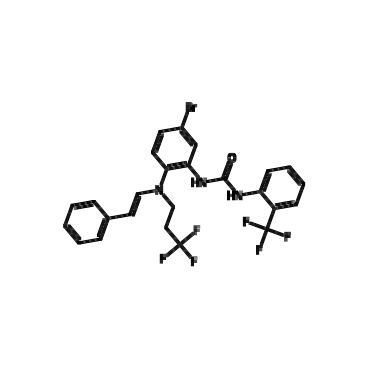 O=C(Nc1cc(Br)ccc1N(C=Cc1ccccc1)CCC(F)(F)F)Nc1ccccc1C(F)(F)F